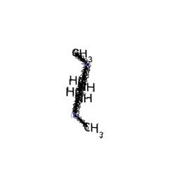 CCCCCCCC/C=C\CCCCCCCCNCCNCCNCCNCCCCCCCC/C=C\CCCCCCCC